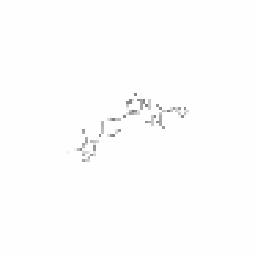 Cc1scc(-c2ccc(-c3cnn(CC(=C=O)N(C)C)c3)cc2)c1C